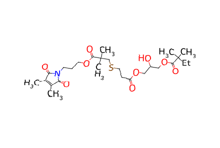 CCC(C)(C)C(=O)OCC(O)COC(=O)CCSCC(C)(C)C(=O)OCCCN1C(=O)C(C)=C(C)C1=O